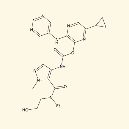 CCN(CCO)C(=O)c1c(NC(=O)Oc2nc(C3CC3)cnc2Nc2cncnc2)cnn1C